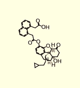 O=C(O)Cc1cccc2cccc(CC(=O)Oc3ccc4c5c3O[C@H]3C(=O)CC[C@@]6(O)[C@@H](C4)N(CC4CC4)CC[C@]536)c12